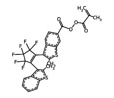 C=C(C)C(=O)OOC(=O)c1ccc2c(C3=C(c4c(C)sc5ccccc45)C(F)(F)C(F)(F)C3(F)F)c(C)sc2c1